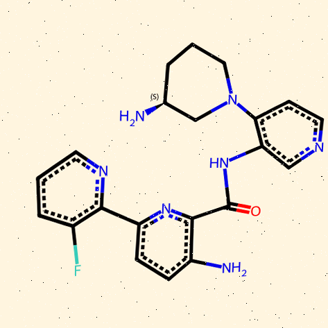 Nc1ccc(-c2ncccc2F)nc1C(=O)Nc1cnccc1N1CCC[C@H](N)C1